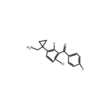 NCC1(c2ccc(Cl)c(C(=O)c3ccc(F)cc3)c2F)CC1